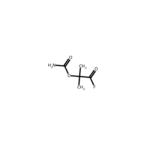 CC(C)(OC(N)=O)C(=O)F